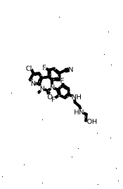 CN1C(=O)N(c2c(F)cc(NCCNCCO)cc2F)c2cc(C#N)cc(F)c2-c2cc(Cl)cnc21